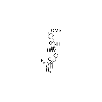 COc1cc(CC(=O)Nc2cc([C@H]3CC[C@@H](OC(=O)NC(C)CC(F)F)C3)[nH]n2)ccn1